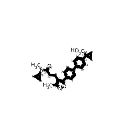 Cc1noc(-c2ccc(-c3ccc(C4(C(=O)O)CC4)cc3)cc2)c1CCC(=O)N(C)C1CC1